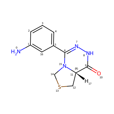 Nc1cccc(C2=NNC(=O)[C@@H]3CSCN23)c1